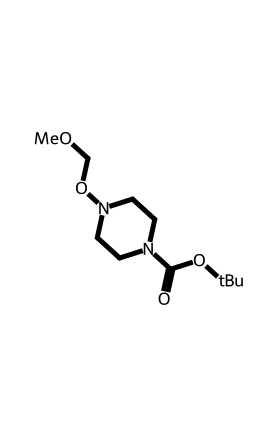 COCON1CCN(C(=O)OC(C)(C)C)CC1